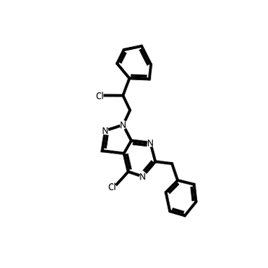 Clc1nc(Cc2ccccc2)nc2c1cnn2CC(Cl)c1ccccc1